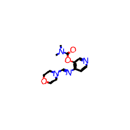 CN(C)C(=O)Oc1cnccc1N=CN1CCOCC1